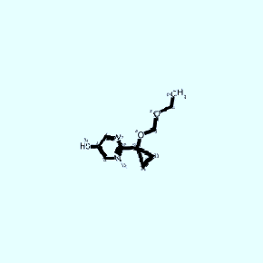 CCOCOC1(c2ncc(O)cn2)CC1